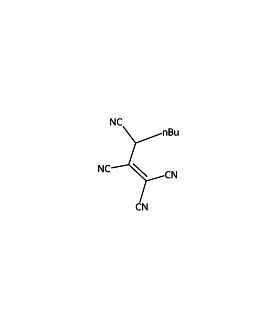 CCCCC(C#N)C(C#N)=C(C#N)C#N